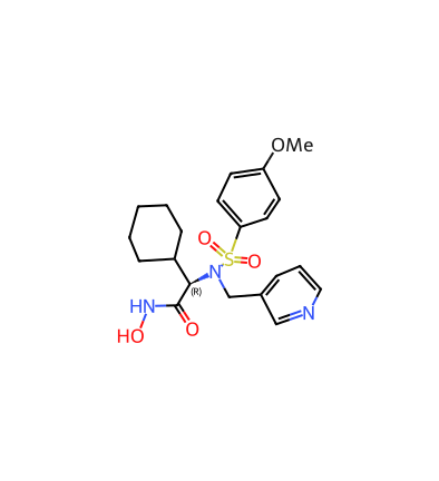 COc1ccc(S(=O)(=O)N(Cc2cccnc2)[C@@H](C(=O)NO)C2CCCCC2)cc1